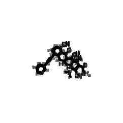 CN(C)[C@H]1C(O)=C(C(N)=O)C(=O)[C@@]2(O)C(O)=C3C(=O)c4c(O)ccc(C#Cc5cccnc5)c4C[C@@H]3C[C@H]12